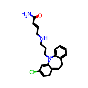 NC(=O)/C=C/CNCCCN1C2=CC(Cl)=CCC2=CCc2ccccc21